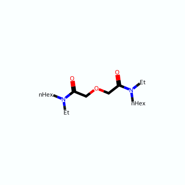 CCCCCCN(CC)C(=O)COCC(=O)N(CC)CCCCCC